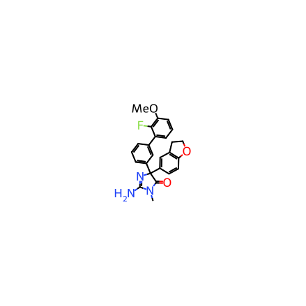 COc1cccc(-c2cccc(C3(c4ccc5c(c4)CCO5)N=C(N)N(C)C3=O)c2)c1F